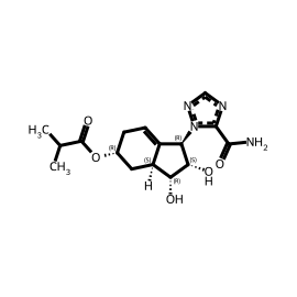 CC(C)C(=O)O[C@@H]1CC=C2[C@@H](n3ncnc3C(N)=O)[C@H](O)[C@H](O)[C@H]2C1